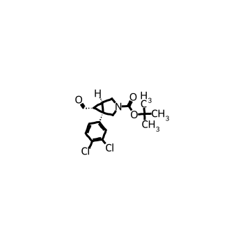 CC(C)(C)OC(=O)N1C[C@@H]2[C@@H](C=O)[C@]2(c2ccc(Cl)c(Cl)c2)C1